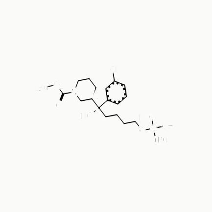 CC(C)(C)OC(=O)N1CCC[C@@H]([C@@](O)(CCCCO[Si](C)(C)C(C)(C)C)c2cccc(Cl)c2)C1